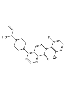 C=CC(O)N1CCN(c2ncnc3c(=O)n(-c4c(O)cccc4F)ccc23)CC1